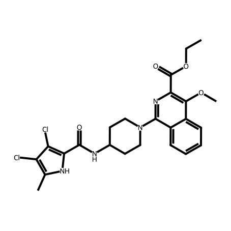 CCOC(=O)c1nc(N2CCC(NC(=O)c3[nH]c(C)c(Cl)c3Cl)CC2)c2ccccc2c1OC